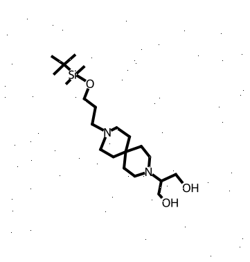 CC(C)(C)[Si](C)(C)OCCCN1CCC2(CC1)CCN(C(CO)CO)CC2